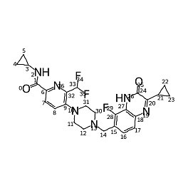 O=C(NC1CC1)c1ccc(N2CCN(Cc3ccc4nc(C5CC5)c(=O)[nH]c4c3F)CC2)c(C(F)F)n1